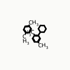 Cc1ccc(C)c(C2CCCCC2)c1.Cc1ccc(C)cc1